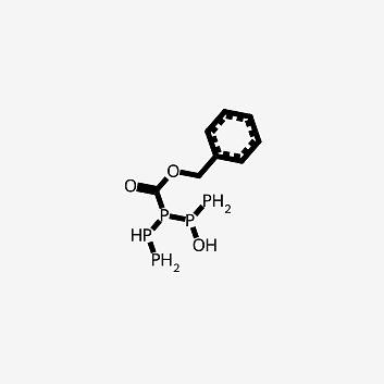 O=C(OCc1ccccc1)P(PP)P(O)P